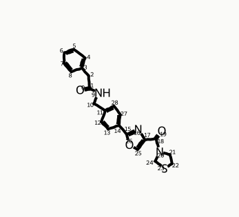 O=C(Cc1ccccc1)NCc1ccc(-c2nc(C(=O)N3CCSC3)co2)cc1